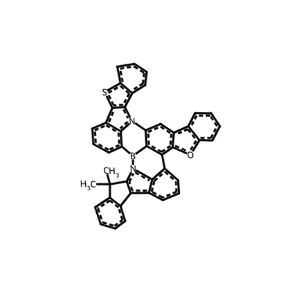 CC1(C)c2ccccc2-c2c1n1c3c(cccc23)-c2c3c(cc4c2oc2ccccc24)-n2c4c(cccc4c4sc5ccccc5c42)B31